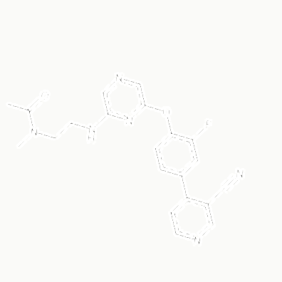 CC(=O)N(C)CCNc1cncc(Oc2ccc(-c3ccncc3C#N)cc2F)n1